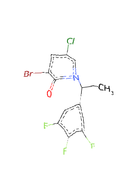 CC(c1cc(F)c(F)c(F)c1)n1cc(Cl)cc(Br)c1=O